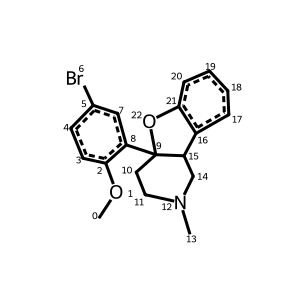 COc1ccc(Br)cc1C12CCN(C)CC1c1ccccc1O2